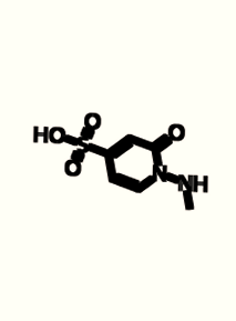 CNn1ccc(S(=O)(=O)O)cc1=O